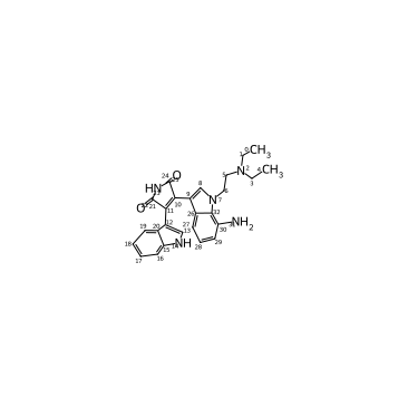 CCN(CC)CCn1cc(C2=C(c3c[nH]c4ccccc34)C(=O)NC2=O)c2cccc(N)c21